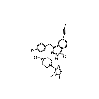 CC#Cc1ccc2c(=O)[nH]nc(Cc3ccc(F)c(C(=O)N4CCN(c5ncc(C)n5C)CC4)c3)c2c1